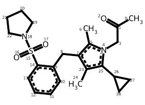 CC(=O)Cn1c(C)c(Cc2ccccc2S(=O)(=O)N2CCCC2)c(C)c1C1CC1